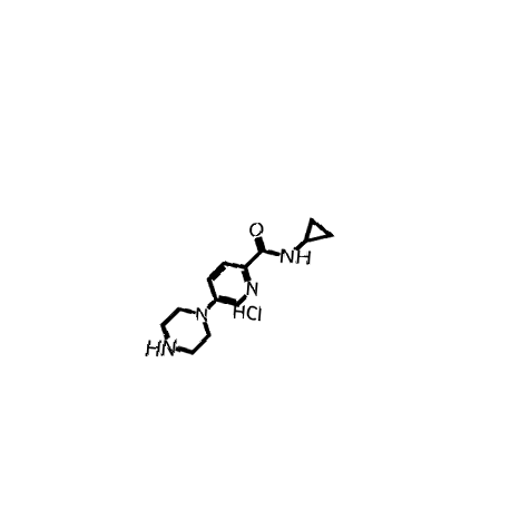 Cl.O=C(NC1CC1)c1ccc(N2CCNCC2)cn1